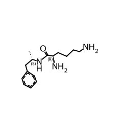 C[C@@H](Cc1ccccc1)NC(=O)[C@H](N)CCCCN